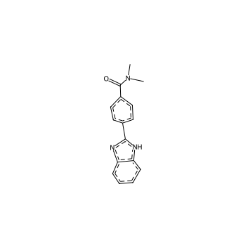 CN(C)C(=O)c1ccc(-c2nc3ccccc3[nH]2)cc1